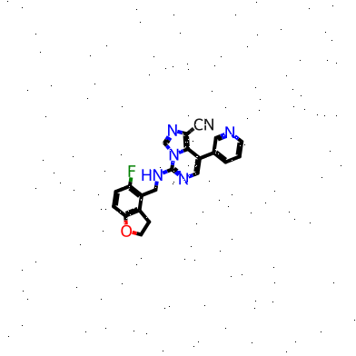 N#Cc1ncn2c(NCc3c(F)ccc4c3CCO4)ncc(-c3cccnc3)c12